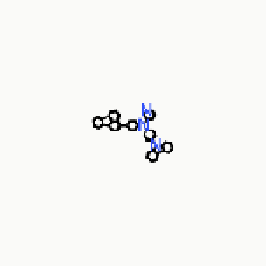 C1=CC(N(c2ccc(-c3ccc4c5c(cccc35)-c3ccccc3-4)cc2)c2cccnc2)CC=C1n1c2ccccc2c2ccccc21